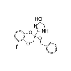 Cl.Fc1cccc2c1OCC(OCc1ccccc1)(C1=NCCN1)O2